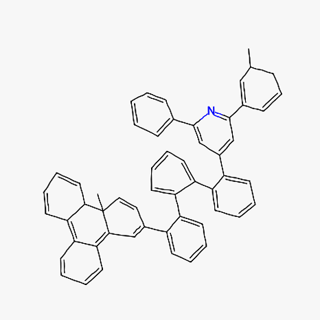 CC1C=C(c2cc(-c3ccccc3-c3ccccc3-c3ccccc3C3=CC4=c5ccccc5=C5C=CC=CC5C4(C)C=C3)cc(-c3ccccc3)n2)C=CC1